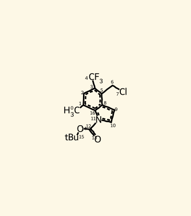 Cc1cc(C(F)(F)F)c(CCl)c2ccn(C(=O)OC(C)(C)C)c12